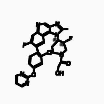 Cc1nc2cnc3cc(F)c(-c4ccc(Oc5ncccn5)cc4Cl)cc3c2n1[C@H]1CCN(C(=O)CO)C[C@@H]1F